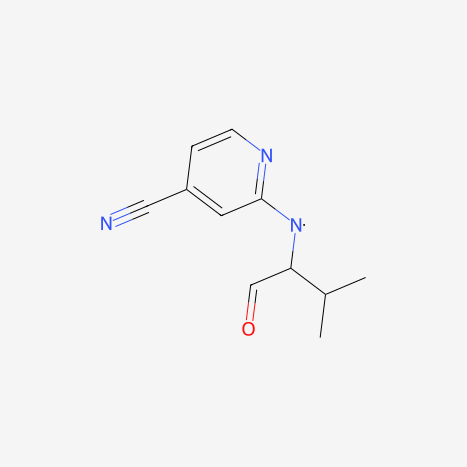 CC(C)C(C=O)[N]c1cc(C#N)ccn1